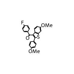 COc1ccc(-c2sc3cc(OC)ccc3c2C(=O)c2ccc(F)cc2)cc1